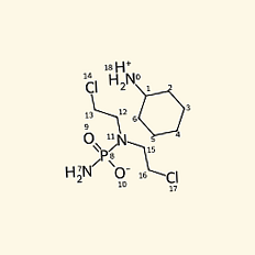 NC1CCCCC1.NP(=O)([O-])N(CCCl)CCCl.[H+]